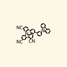 N#Cc1ccc(-c2ccc(-c3cccc(-n4c5ccccc5c5ccccc54)c3)cc2)c(-n2c3ccc(C#N)cc3c3c(C#N)cccc32)c1